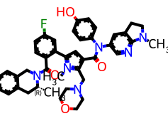 C[C@@H]1Cc2ccccc2CN1C(=O)c1ccc(F)cc1-c1cc(C(=O)N(c2ccc(O)cc2)c2cnc3c(c2)CCN3C)c(CN2CCOCC2)n1C